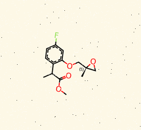 COC(=O)C(C)c1ccc(F)cc1OC[C@@]1(C)CO1